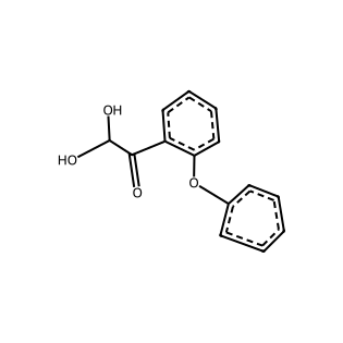 O=C(c1ccccc1Oc1ccccc1)C(O)O